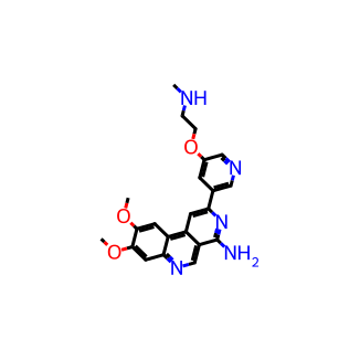 CNCCOc1cncc(-c2cc3c(cnc4cc(OC)c(OC)cc43)c(N)n2)c1